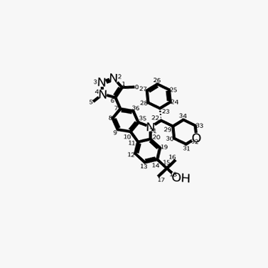 Cc1nnn(C)c1-c1ccc2c3ccc(C(C)(C)O)cc3n([C@H](C3C=CC=CC3)C3CCOCC3)c2c1